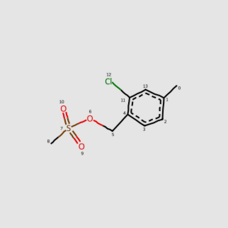 Cc1ccc(COS(C)(=O)=O)c(Cl)c1